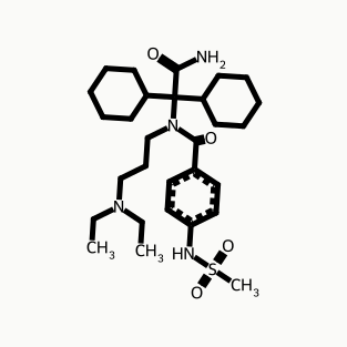 CCN(CC)CCCN(C(=O)c1ccc(NS(C)(=O)=O)cc1)C(C(N)=O)(C1CCCCC1)C1CCCCC1